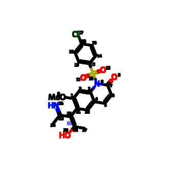 COc1cc2c(ccc(=O)n2S(=O)(=O)c2ccc(Cl)cc2)cc1/C(C(C)=N)=C(\C)O